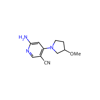 COC1CCN(c2cc(N)ncc2C#N)C1